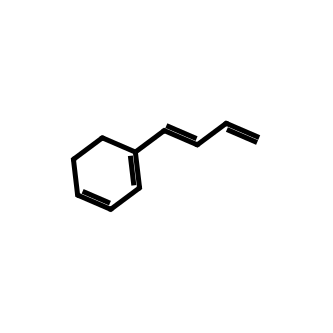 C=CC=CC1=CC=CCC1